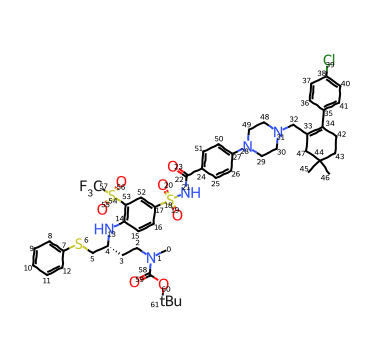 CN(CC[C@H](CSc1ccccc1)Nc1ccc(S(=O)(=O)NC(=O)c2ccc(N3CCN(CC4=C(c5ccc(Cl)cc5)CCC(C)(C)C4)CC3)cc2)cc1S(=O)(=O)C(F)(F)F)C(=O)OC(C)(C)C